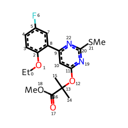 CCOc1ccc(F)cc1-c1cc(OC(C)(C)C(=O)OC)nc(SC)n1